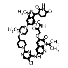 CNC(=O)COc1cc2cc(Nc3nc(N4CCC(CN5CCN(c6ccc7c(C8CCC(=O)NC8=O)nn(C)c7c6)C[C@@H]5C)CC4)ncc3Cl)cnc2n(C(C)C)c1=O